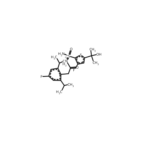 CC(C)c1cc(F)cc(C(C)C)c1CC(=O)N=[S@](N)(=O)c1sc(C(C)(C)O)cc1F